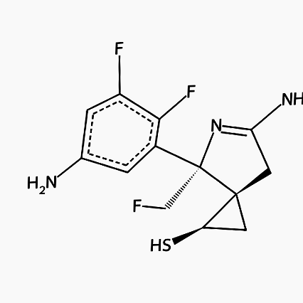 NC1=N[C@](CF)(c2cc(N)cc(F)c2F)[C@]2(C1)C[C@H]2S